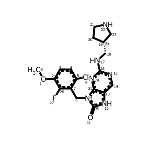 COc1ccc(Cl)c(Cn2c(=O)[nH]c3cnc(NC[C@@H]4CCNC4)nc32)c1F